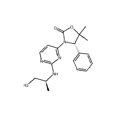 C[C@@H](CO)Nc1nccc(N2C(=O)OC(C)(C)[C@@H]2c2ccccc2)n1